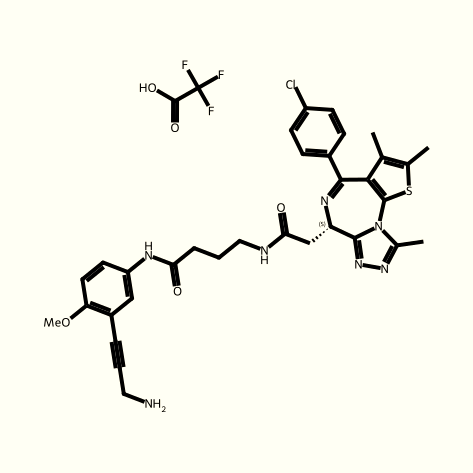 COc1ccc(NC(=O)CCCNC(=O)C[C@@H]2N=C(c3ccc(Cl)cc3)c3c(sc(C)c3C)-n3c(C)nnc32)cc1C#CCN.O=C(O)C(F)(F)F